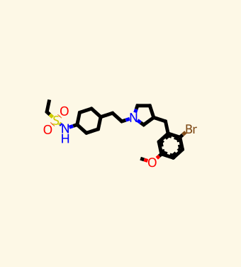 CCS(=O)(=O)NC1CCC(CCN2CCC(Cc3cc(OC)ccc3Br)C2)CC1